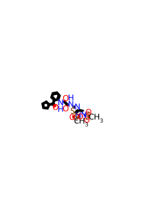 CS(=O)(=O)NCc1nc(NC(=O)C(=O)Nc2ccccc2C(=O)C2CCCC2)sc1S(C)(=O)=O